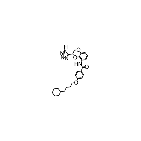 O=C(Nc1cccc2c1OC(c1nnn[nH]1)CO2)c1ccc(OCCCCC2CCCCC2)cc1